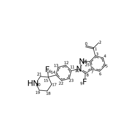 C=C(C)c1cccc2c(F)n(-c3ccc(C4(F)CCCNC4)cc3)nc12